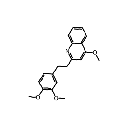 COc1ccc(CCc2cc(OC)c3ccccc3n2)cc1OC